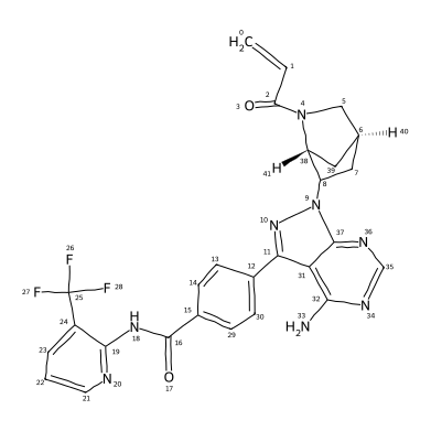 C=CC(=O)N1C[C@H]2CC(n3nc(-c4ccc(C(=O)Nc5ncccc5C(F)(F)F)cc4)c4c(N)ncnc43)[C@H]1C2